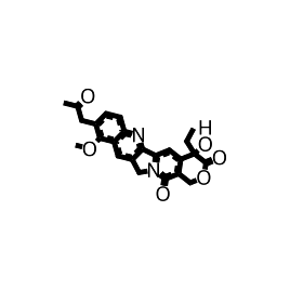 CCC1(O)C(=O)OCc2c1cc1n(c2=O)Cc2cc3c(OC)c(CC(C)=O)ccc3nc2-1